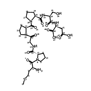 CSCC[C@H](N)C(=O)N1CCC[C@H]1C(=O)NCC(=O)N1CCC[C@H]1C(=O)N1CCC[C@H]1C(=O)N[C@@H](CO)C(=O)N[C@@H](CC(=O)O)C(=O)O